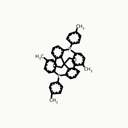 Cc1ccc(P(c2ccc(C)cc2)c2cccc3c2C2(CO3)COc3cccc(P(c4ccc(C)cc4)c4ccc(C)cc4)c32)cc1